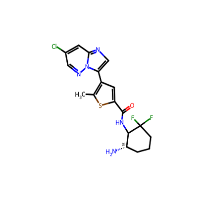 Cc1sc(C(=O)NC2[C@@H](N)CCCC2(F)F)cc1-c1cnc2cc(Cl)cnn12